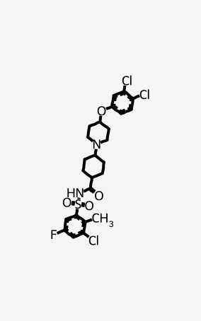 Cc1c(Cl)cc(F)cc1S(=O)(=O)NC(=O)C1CCC(N2CCC(Oc3ccc(Cl)c(Cl)c3)CC2)CC1